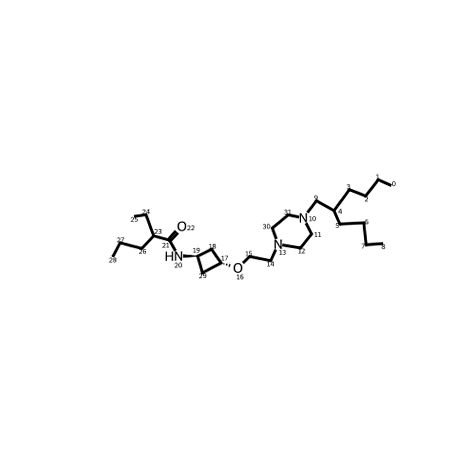 CCCCC(CCCC)CN1CCN(CCO[C@H]2C[C@H](NC(=O)C(CC)CCC)C2)CC1